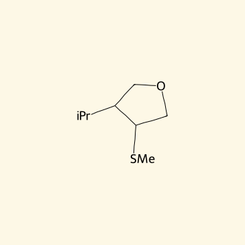 CSC1COCC1C(C)C